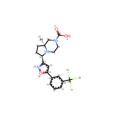 O=C(O)N1CCN2[C@@H](CC[C@@H]2c2cc(-c3cccc(C(F)(F)F)c3)on2)C1